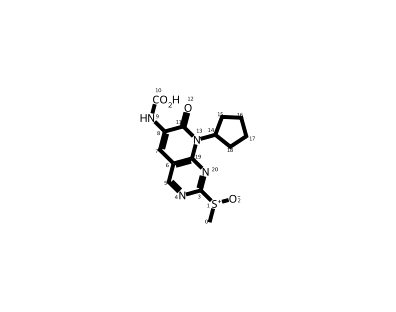 C[S+]([O-])c1ncc2cc(NC(=O)O)c(=O)n(C3CCCC3)c2n1